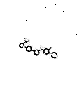 NC(=O)[C@@H]1CCCN1c1ccc(-c2ccnc(Nc3ccc(N4CCOCC4)c(F)c3)n2)cc1